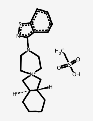 CS(=O)(=O)O.c1ccc2c(N3CC[N+]4(CC3)C[C@@H]3CCCC[C@H]3C4)nsc2c1